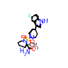 C[C@]1(C(N)=O)CCCCN1S(=O)(=O)N1CCC(c2c[nH]c3ccc(F)cc23)CC1